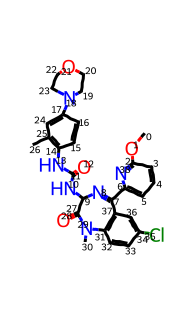 COc1cccc(C2=NC(NC(=O)Nc3ccc(N4CCOCC4)cc3C)C(=O)N(C)c3ccc(Cl)cc32)n1